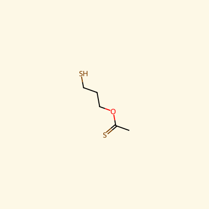 CC(=S)OCCCS